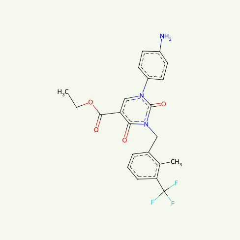 CCOC(=O)c1cn(-c2ccc(N)cc2)c(=O)n(Cc2cccc(C(F)(F)F)c2C)c1=O